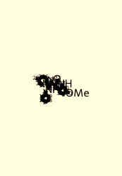 COc1ccc2cc(-c3nc4n(c3NCC3=CC=CCC3)C#CC(C)C=C4)c(=O)[nH]c2c1